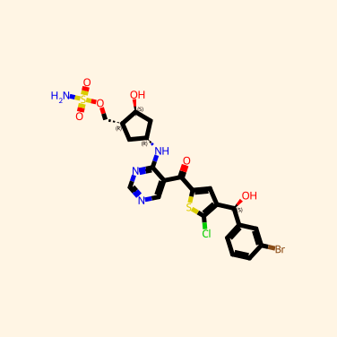 NS(=O)(=O)OC[C@H]1C[C@@H](Nc2ncncc2C(=O)c2cc([C@@H](O)c3cccc(Br)c3)c(Cl)s2)C[C@@H]1O